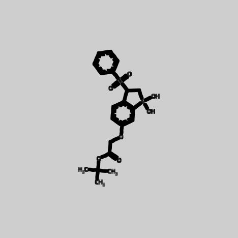 CC(C)(C)OC(=O)COc1ccc2c(c1)S(O)(O)CC2S(=O)(=O)c1ccccc1